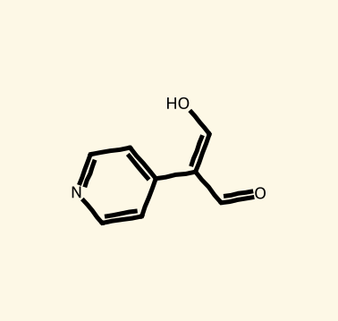 O=C/C(=C/O)c1ccncc1